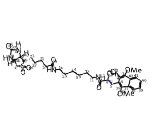 COc1c(Cl)c(/C=C(\C)C(=O)NCCCCCCNC(=O)CCCC[C@H]2[C@H]3NC(=O)N[C@H]3CS2(=O)=O)c(OC)c2ccccc12